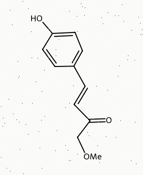 COCC(=O)C=Cc1ccc(O)cc1